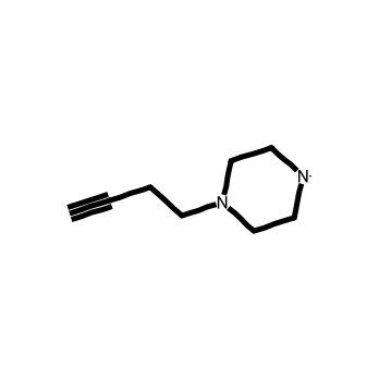 C#CCCN1CC[N]CC1